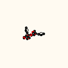 c1ccc(-c2ccc(-c3ccc(-c4ccc5c(c4)-c4ccccc4C54c5ccccc5C5(c6ccccc6)c6cc(-c7cc(-c8ccc(-c9ccc(-c%10ccccc%10)o9)cc8)cc8c7-c7ccccc7C87c8ccccc8C8(c9ccccc9)c9ccccc9-c9cccc7c98)ccc6-c6cccc4c65)cc3)o2)cc1